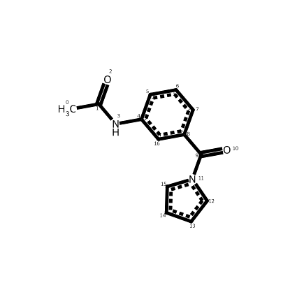 CC(=O)Nc1cccc(C(=O)n2cccc2)c1